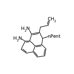 C=CCC1=C(N)c2c(N)ccc3cccc(c23)C1CCCCC